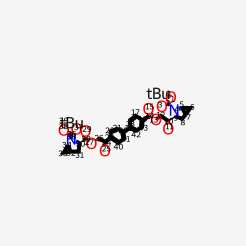 CC(C)(C)OC(=O)N1C2CC2C[C@H]1C(=O)COC(=O)c1ccc(-c2ccc(C(=O)COC(=O)[C@@H]3CC4CC4N3C(=O)OC(C)(C)C)cc2)cc1